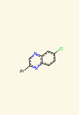 CC(C)c1cnc2cc(Cl)ccc2n1